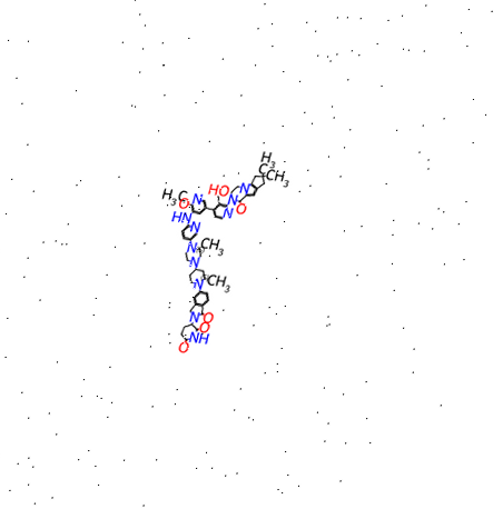 COc1ncc(-c2ccnc(N3CCn4c(cc5c4CC(C)(C)C5)C3=O)c2CO)cc1Nc1ccc(N2CCN(C3CCN(c4ccc5c(c4)CN(C4CCC(=O)NC4=O)C5=O)[C@@H](C)C3)C[C@@H]2C)cn1